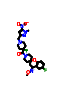 CO/N=C1\CC2(CCN(C(=O)C3(F)CCN(Cc4cc([N+](=O)[O-])n(C)n4)CC3)CC2)Oc2ccc(F)cc21